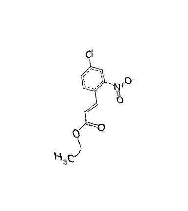 CCOC(=O)C=Cc1ccc(Cl)cc1[N+](=O)[O-]